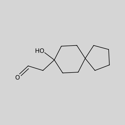 O=CCC1(O)CCC2(CCCC2)CC1